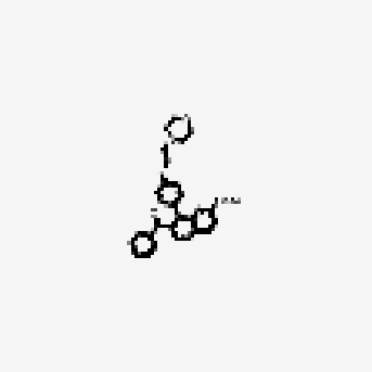 COc1ccc2ccc(C(=O)c3ccccc3)c(-c3ccc(OCCN4CCOCC4)cc3)c2c1